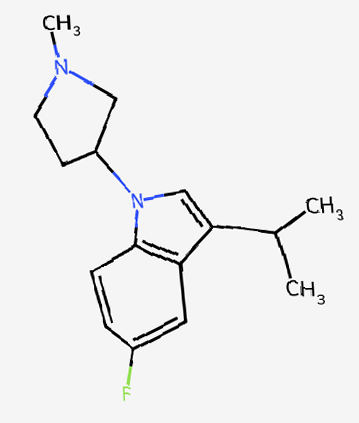 CC(C)c1cn(C2CCN(C)C2)c2ccc(F)cc12